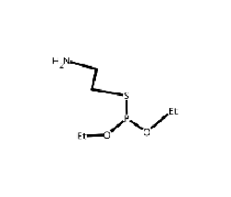 CCOP(OCC)SCCN